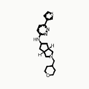 c1cc(-c2ccc(NC3C[C@@H]4CN(CC5CCOCC5)C[C@@H]4C3)nn2)cs1